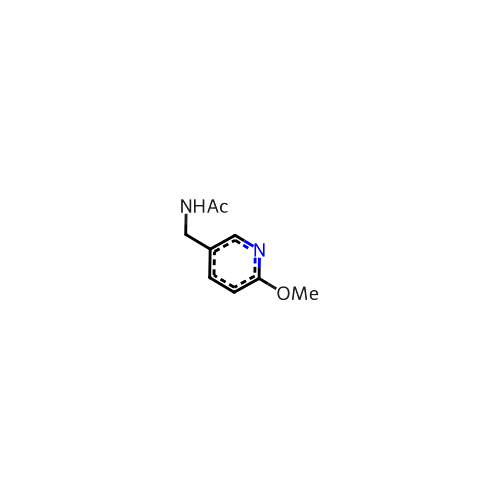 COc1ccc(CNC(C)=O)cn1